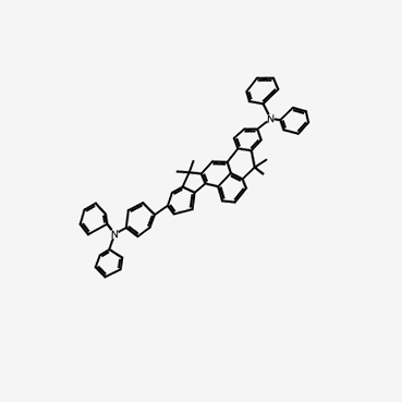 CC1(C)c2cc(-c3ccc(N(c4ccccc4)c4ccccc4)cc3)ccc2-c2c1cc1c3c(cccc23)C(C)(C)c2cc(N(c3ccccc3)c3ccccc3)ccc2-1